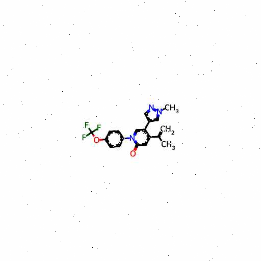 C=C(C)c1cc(=O)n(-c2ccc(OC(F)(F)F)cc2)cc1-c1cnn(C)c1